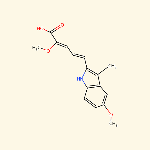 CO/C(=C\C=C\c1[nH]c2ccc(OC)cc2c1C)C(=O)O